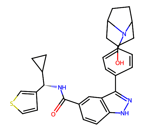 O=C(N[C@H](c1ccsc1)C1CC1)c1ccc2[nH]nc(-c3ccc(N4C5CCC4CC(O)C5)cc3)c2c1